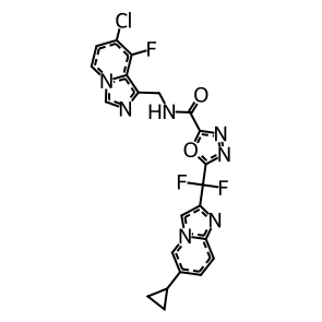 O=C(NCc1ncn2ccc(Cl)c(F)c12)c1nnc(C(F)(F)c2cn3cc(C4CC4)ccc3n2)o1